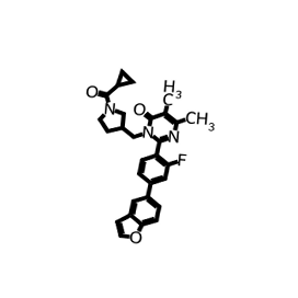 Cc1nc(-c2ccc(-c3ccc4occc4c3)cc2F)n(CC2CCN(C(=O)C3CC3)C2)c(=O)c1C